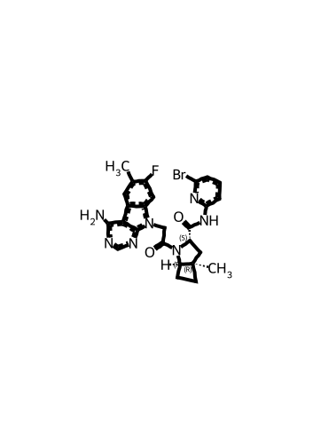 Cc1cc2c3c(N)ncnc3n(CC(=O)N3[C@H](C(=O)Nc4cccc(Br)n4)C[C@@]4(C)CC[C@@H]34)c2cc1F